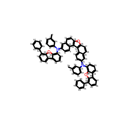 Cc1cccc(N(c2ccc3c(ccc4oc5ccc6cc(N(c7cccc(C)c7)c7cccc8c7oc7c(-c9ccccc9)cccc78)ccc6c5c43)c2)c2cccc3c2oc2c(-c4ccccc4)cccc23)c1